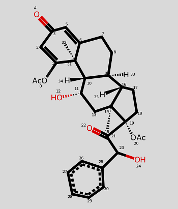 CC(=O)OC1=CC(=O)C=C2CC[C@@H]3[C@H]([C@@H](O)C[C@@]4(C)[C@H]3CC[C@@]4(OC(C)=O)C(=O)C(O)c3ccccc3)[C@]21C